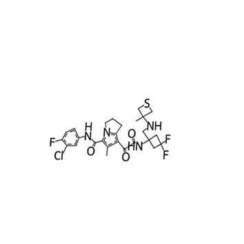 Cc1c(C(=O)C(=O)NC2(CNC3(C)CSC3)CC(F)(F)C2)c2n(c1C(=O)Nc1ccc(F)c(Cl)c1)CCC2